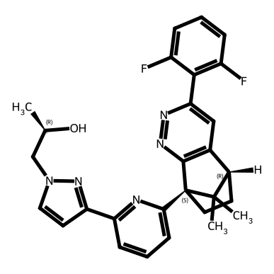 C[C@@H](O)Cn1ccc(-c2cccc([C@@]34CC[C@@H](c5cc(-c6c(F)cccc6F)nnc53)C4(C)C)n2)n1